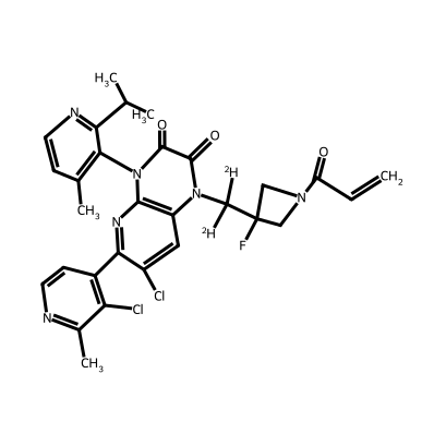 [2H]C([2H])(n1c(=O)c(=O)n(-c2c(C)ccnc2C(C)C)c2nc(-c3ccnc(C)c3Cl)c(Cl)cc21)C1(F)CN(C(=O)C=C)C1